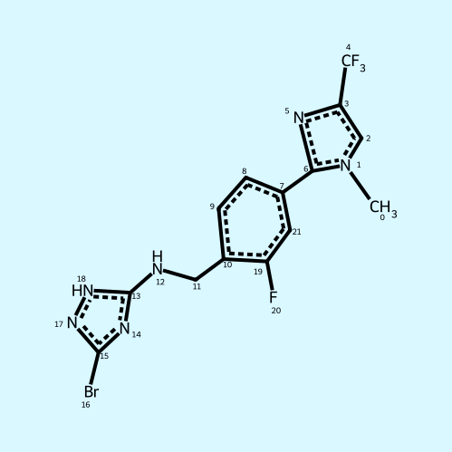 Cn1cc(C(F)(F)F)nc1-c1ccc(CNc2nc(Br)n[nH]2)c(F)c1